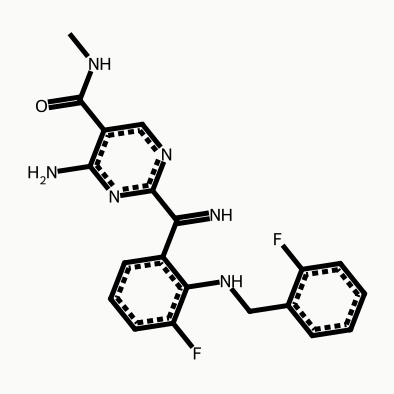 CNC(=O)c1cnc(C(=N)c2cccc(F)c2NCc2ccccc2F)nc1N